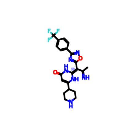 CC(=N)/C(=C1/NC(=O)C=C(C2CCNCC2)N1)c1nc(-c2ccc(C(F)(F)F)cc2)no1